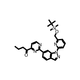 CCCC(=O)c1ccnc(-c2ccc3cnn(-c4cccc(CO[Si](C)(C)C(C)(C)C)n4)c3c2)n1